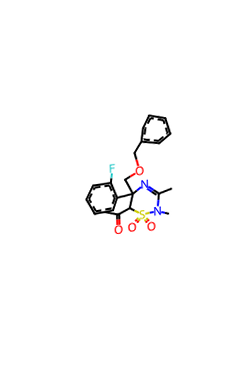 CC(=O)C1C(COCc2ccccc2)(c2ccccc2F)N=C(C)N(C)S1(=O)=O